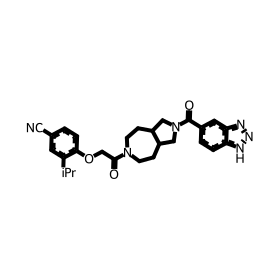 CC(C)c1cc(C#N)ccc1OCC(=O)N1CCC2CN(C(=O)c3ccc4[nH]nnc4c3)CC2CC1